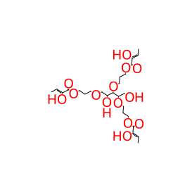 CC=C(O)C(=O)OCCCOCC(O)C(OCCCOC(=O)C(O)=CC)C(CO)OCCCOC(=O)C(O)=CC